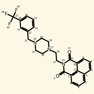 O=C1c2cccc3cccc(c23)C(=O)N1CCN1CCN(Cc2cccc(C(F)(F)F)c2)CC1